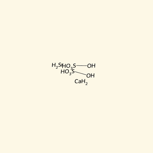 O=S(=O)(O)O.O=S(=O)(O)O.[CaH2].[SrH2]